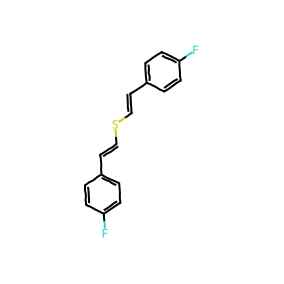 Fc1ccc(C=CSC=Cc2ccc(F)cc2)cc1